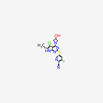 CCc1[nH]c2nc(Sc3cnc(C#N)c(F)c3)nc(N3CC(O)C3)c2c1Cl